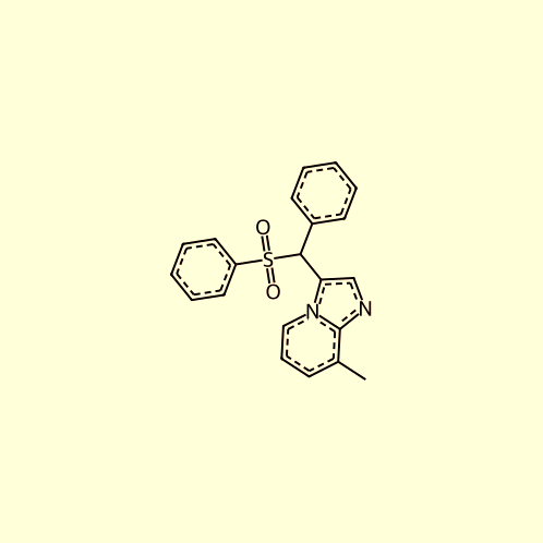 Cc1cccn2c(C(c3ccccc3)S(=O)(=O)c3ccccc3)cnc12